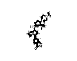 CC(C)N1CCN(c2ccc(Nc3ccc(-c4ccc5c(c4)CNC5=O)n4ccnc34)cc2C(F)(F)F)CC1